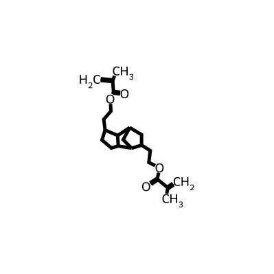 C=C(C)C(=O)OCCC1CC2CC1C1CCC(CCOC(=O)C(=C)C)C21